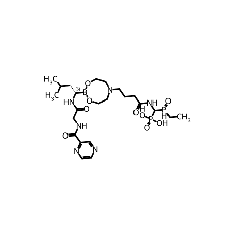 CC[PH](=O)C(NC(=O)CCCN1CCOB([C@@H](CC(C)C)NC(=O)CNC(=O)c2cnccn2)OCC1)P(=O)(O)O